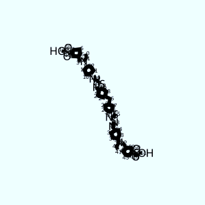 CCN(Cc1cccc(S(=O)(=O)O)c1)c1ccc(/N=N/c2nc3ccc(Cc4ccc5nc(/N=N/c6ccc(N(CC)Cc7cccc(S(=O)(=O)O)c7)cc6)sc5c4)cc3s2)cc1